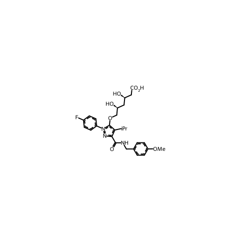 COc1ccc(CNC(=O)c2nn(-c3ccc(F)cc3)c(OC[C@@H](O)C[C@@H](O)CC(=O)O)c2C(C)C)cc1